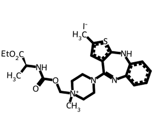 CCOC(=O)[C@H](C)NC(=O)OC[N+]1(C)CCN(C2=Nc3ccccc3Nc3sc(C)cc32)CC1.[I-]